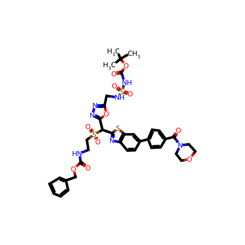 CC(C)(C)OC(=O)NS(=O)(=O)NCc1nnc(C(c2nc3ccc(-c4ccc(C(=O)N5CCOCC5)cc4)cc3s2)S(=O)(=O)CCNC(=O)OCc2ccccc2)o1